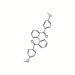 COc1ccc(C(=O)c2ccccc2-c2ccccc2C(=O)c2ccc(OC)cc2)cc1